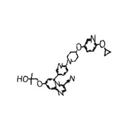 CC(C)(O)COc1cc(-c2ccc(N3CCC(Oc4ccc(OC5CC5)nc4)CC3)nc2)n2c(C#N)cnc2c1